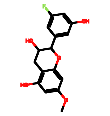 COc1cc(O)c2c(c1)OC(c1cc(O)cc(F)c1)C(O)C2